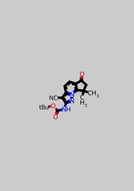 CC(C)(C)OC(=O)Nc1nn2c3c(ccc2c1C#N)C(=O)CC3(C)C